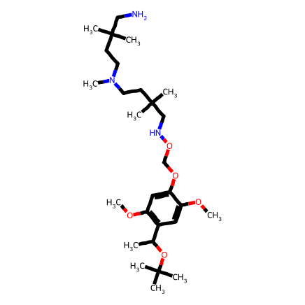 COc1cc(C(C)OC(C)(C)C)c(OC)cc1OCONCC(C)(C)CCN(C)CCC(C)(C)CN